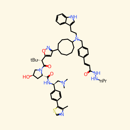 CCCNNC(=O)/C=C/c1ccc(CN(CCc2c[nH]c3ccccc23)C2CCCCC(c3cc([C@H](C(=O)N4C[C@H](O)C[C@H]4C(=O)N[C@@H](CN(C)C)c4ccc(-c5scnc5C)cc4)C(C)(C)C)on3)CCC2)cc1